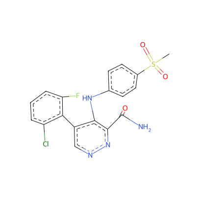 CS(=O)(=O)c1ccc(Nc2c(-c3c(F)cccc3Cl)cnnc2C(N)=O)cc1